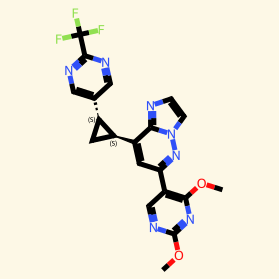 COc1ncc(-c2cc([C@H]3C[C@@H]3c3cnc(C(F)(F)F)nc3)c3nccn3n2)c(OC)n1